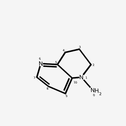 NN1CCCc2ncccc21